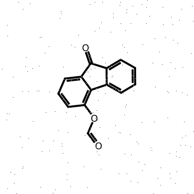 O=COc1cccc2c1-c1ccccc1C2=O